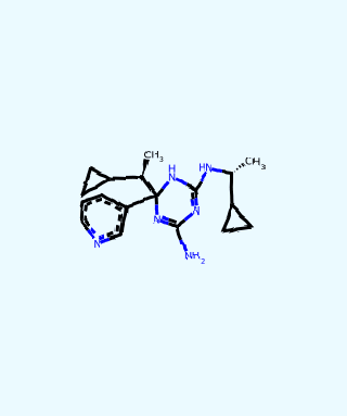 C[C@H](C1CC1)C1(c2cccnc2)N=C(N)N=C(N[C@H](C)C2CC2)N1